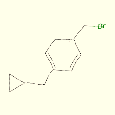 BrCc1ccc(CC2CC2)cc1